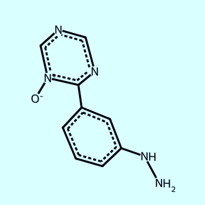 NNc1cccc(-c2ncnc[n+]2[O-])c1